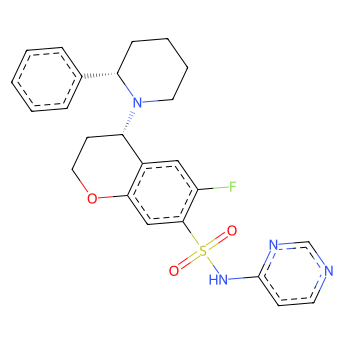 O=S(=O)(Nc1ccncn1)c1cc2c(cc1F)[C@@H](N1CCCC[C@H]1c1ccccc1)CCO2